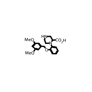 COc1cc(COc2ccccc2N2CCNCC2C(=O)O)cc(OC)c1